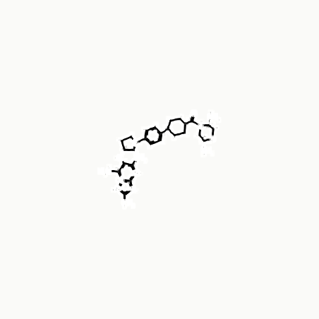 Cc1nc2nc(C)c(O[C@@H]3CCN(c4ccc(C5CCC(C(=O)N6C[C@@H](C)OC[C@@H]6C)CC5)cc4)C3)c(C)n2n1